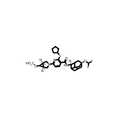 O=C(O)OC1[C@H]2CN(c3ccc(C(=O)N[C@H]4C5CC6CC4C[C@@](OC(F)F)(C6)C5)c(SC4CCCC4)n3)C[C@@H]12